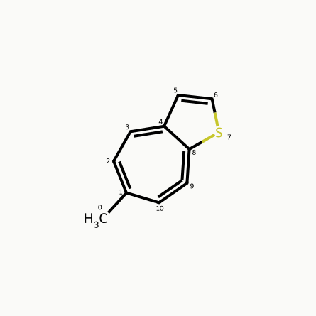 CC1=CC=c2ccsc2=C=C1